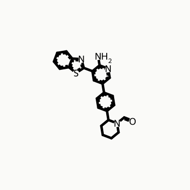 Nc1ncc(-c2ccc(C3CCCCN3C=O)cc2)cc1-c1nc2ccccc2s1